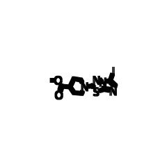 COC(=O)C1CCN(c2nn3c(I)cnc3s2)CC1